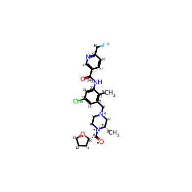 Cc1c(CN2CCN(C(=O)[C@@H]3CCCO3)[C@@H](C)C2)cc(Cl)cc1NC(=O)c1ccc(CF)nc1